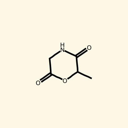 CC1OC(=O)CNC1=O